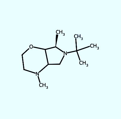 C[C@@H]1C2OCCN(C)C2CN1C(C)(C)C